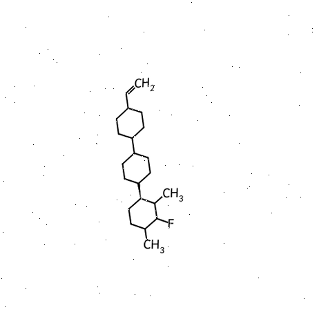 C=CC1CCC(C2CCC([C@@H]3CCC(C)C(F)C3C)CC2)CC1